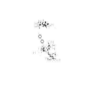 N=C(NCCCCc1ccc(-c2ccc(CCC(=O)N[C@@H](CCN(C[C@H](O)[C@@H](O)[C@H](O)[C@H](O)CO)C[C@H](O)[C@@H](O)[C@H](O)[C@H](O)CO)C(=O)O)cc2)cc1)NC(=O)c1nc(Cl)c(N)nc1N